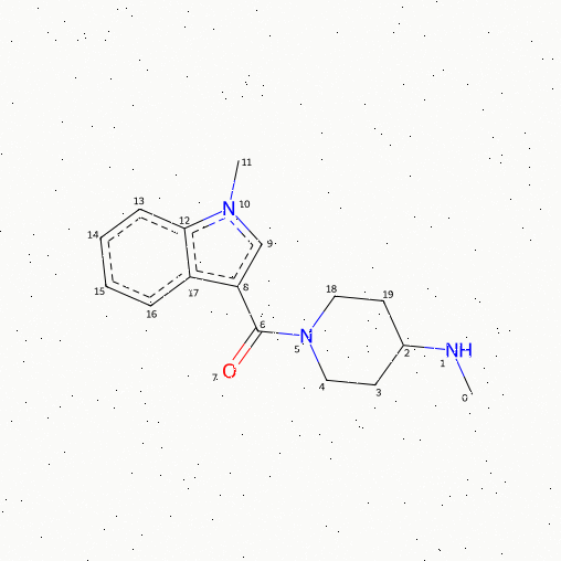 CNC1CCN(C(=O)c2cn(C)c3ccccc23)CC1